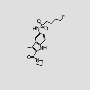 Cc1c(C(=O)N2CCC2)[nH]c2ccc(NS(=O)(=O)CCCCF)cc12